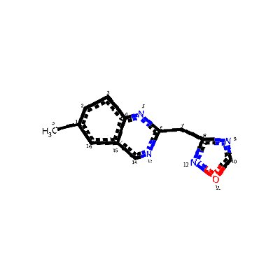 Cc1ccc2nc(Cc3ncon3)ncc2c1